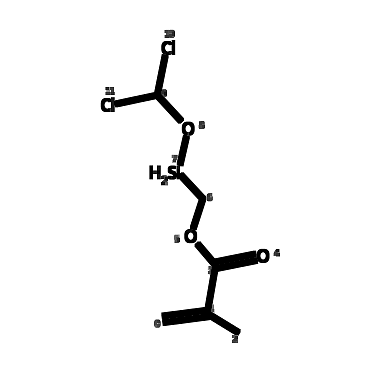 C=C(C)C(=O)OC[SiH2]OC(Cl)Cl